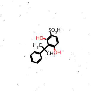 CC(C)(c1ccccc1)c1c(O)ccc(S(=O)(=O)O)c1O